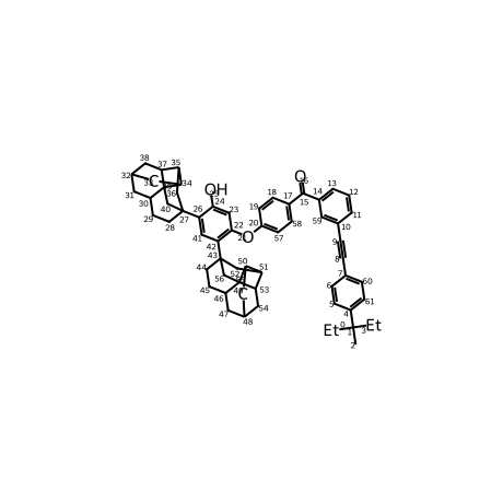 CCC(C)(CC)c1ccc(C#Cc2cccc(C(=O)c3ccc(Oc4cc(O)c(C56CCC7CC8CC9C(C5)C(C8)C79C6)cc4C45CCC6CC7CC8C(C4)C(C7)C68C5)cc3)c2)cc1